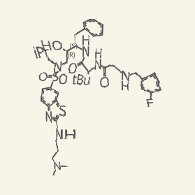 CC(C)CN(C[C@@H](O)[C@H](Cc1ccccc1)NC(=O)C(NC(=O)CNCc1cccc(F)c1)C(C)(C)C)S(=O)(=O)c1ccc2nc(NCCCN(C)C)sc2c1